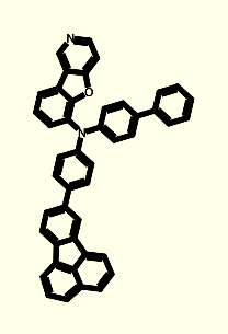 c1ccc(-c2ccc(N(c3ccc(-c4ccc5c(c4)-c4cccc6cccc-5c46)cc3)c3cccc4c3oc3ccncc34)cc2)cc1